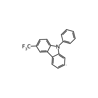 FC(F)(F)c1ccc2c(c1)c1cc[c]cc1n2-c1ccccc1